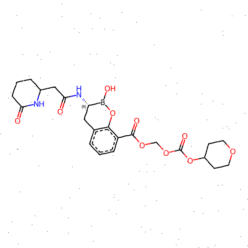 O=C1CCCC(CC(=O)N[C@H]2Cc3cccc(C(=O)OCOC(=O)OC4CCOCC4)c3OB2O)N1